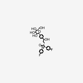 O=C1[C@H](CC[C@H](O)c2ccc([C@@H]3O[C@H](CO)[C@@H](O)[C@H](O)[C@H]3O)cc2)[C@@H](c2ccc(F)cc2)N1c1ccc(F)cc1